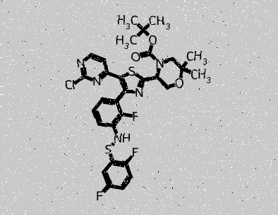 CC(C)(C)OC(=O)N1CC(C)(C)OCC1c1nc(-c2cccc(NSc3cc(F)ccc3F)c2F)c(-c2ccnc(Cl)n2)s1